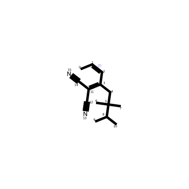 C/C=C\C(CC(C)(C)C(C)C)=C(C#N)C#N